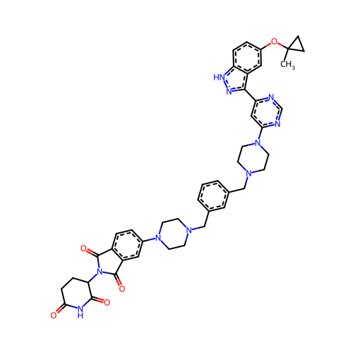 CC1(Oc2ccc3[nH]nc(-c4cc(N5CCN(Cc6cccc(CN7CCN(c8ccc9c(c8)C(=O)N(C8CCC(=O)NC8=O)C9=O)CC7)c6)CC5)ncn4)c3c2)CC1